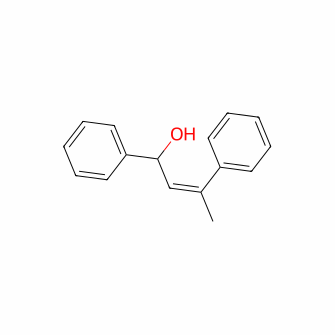 CC(=CC(O)c1ccccc1)c1ccccc1